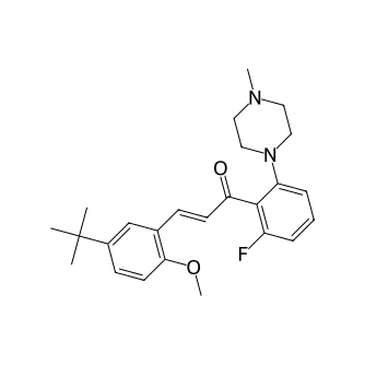 COc1ccc(C(C)(C)C)cc1C=CC(=O)c1c(F)cccc1N1CCN(C)CC1